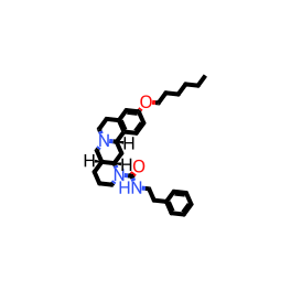 CCCCCCOc1ccc2c(c1)CCN1C[C@H]3CCCN(C(=O)NCCc4ccccc4)[C@H]3C[C@@H]21